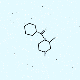 CC1CNCCN1C(=O)C1CCCCC1